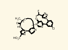 C[C@@H]1CCCC[C@H](n2cnc(-c3cc(Cl)ccc3-n3cc(C(F)F)nn3)cc2=O)c2cc(ccn2)-n2nc(C(=O)O)cc2NC1=O